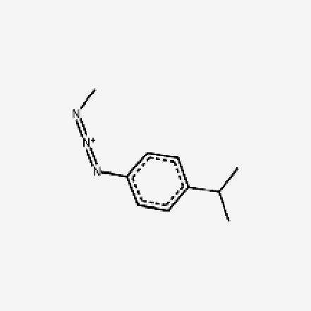 CN=[N+]=Nc1ccc(C(C)C)cc1